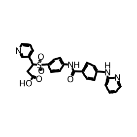 O=C(O)CC(c1cccnc1)S(=O)(=O)c1ccc(NC(=O)c2ccc(Nc3ccccn3)cc2)cc1